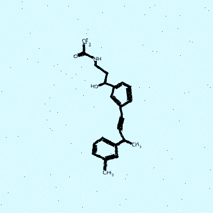 Cc1cccc(C(C)C#Cc2cccc(C(O)CCNC(=O)C(F)(F)F)c2)c1